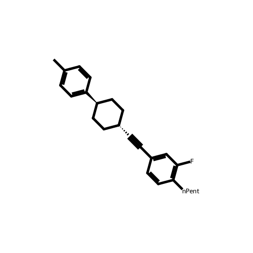 CCCCCc1ccc(C#C[C@H]2CC[C@H](c3ccc(C)cc3)CC2)cc1F